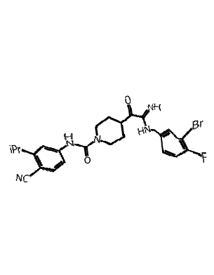 CC(C)c1cc(NC(=O)N2CCC(C(=O)C(=N)Nc3ccc(F)c(Br)c3)CC2)ccc1C#N